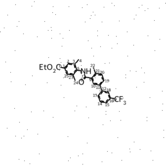 CCOC(=O)c1cc(C)c(NC(=O)c2cc(-c3cccc(C(F)(F)F)c3)ccc2C)c(C)c1